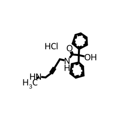 CNCC#CCNC(=O)C(O)(c1ccccc1)c1ccccc1.Cl